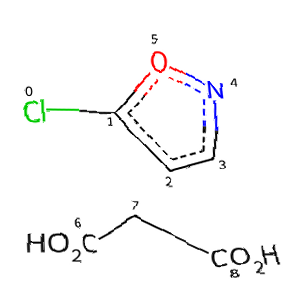 Clc1ccno1.O=C(O)CC(=O)O